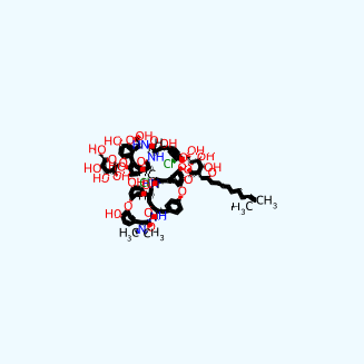 CC(C)CCCCCCCCC(=O)C[C@H]1[C@H](Oc2c3cc4cc2Oc2ccc(cc2Cl)[C@@H](O)[C@@H]2NC(=O)[C@H](CC(=O)[C@@H]4NC(=O)[C@H]4CC(=O)[C@@H](Cc5ccc(cc5)O3)NC(=O)[C@H](N(C)C)c3ccc(O)c(c3)Oc3cc(O)c(Cl)c4c3)c3ccc(O)c(c3)-c3c(O[C@H]4O[C@H](CO)[C@@H](O)[C@H](O)[C@@H]4O)cc(O)cc3[C@@H](C(=O)O)NC2=O)O[C@H](C(=O)O)[C@@H](O)[C@@H]1O